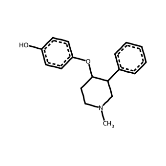 CN1CCC(Oc2ccc(O)cc2)C(c2ccccc2)C1